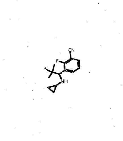 CC(C)(F)C(NC1CC1)c1cccc(C#N)c1F